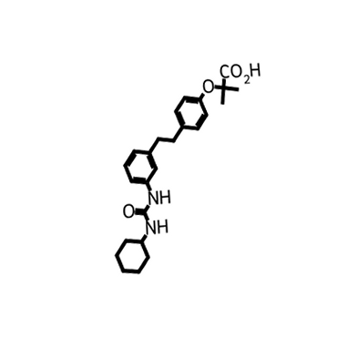 CC(C)(Oc1ccc(CCc2cccc(NC(=O)NC3CCCCC3)c2)cc1)C(=O)O